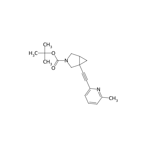 Cc1cccc(C#CC23CC2CN(C(=O)OC(C)(C)C)C3)n1